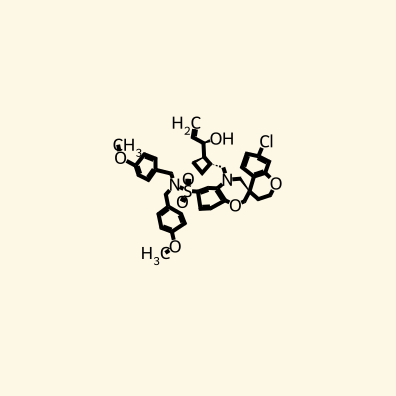 C=C[C@@H](O)[C@@H]1CC[C@H]1CN1C[C@@]2(CCOc3cc(Cl)ccc32)COc2ccc(S(=O)(=O)N(Cc3ccc(OC)cc3)Cc3ccc(OC)cc3)cc21